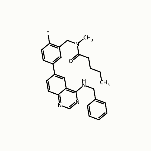 CCCCC(=O)N(C)Cc1cc(-c2ccc3ncnc(NCc4ccccc4)c3c2)ccc1F